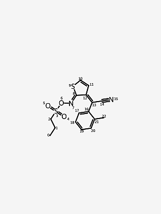 CCCS(=O)(=O)ON=C1SC=C/C1=C(\C#N)c1ccccc1C